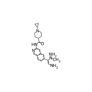 CN(N)/C(=C\N)c1ccc2cnc(NC(=O)C3CCN(C4CC4)CC3)cc2c1